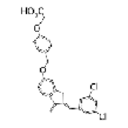 C=C1/C(=C/c2cc(Cl)cc(Cl)c2)Cc2cc(OCc3ccc(OCC(=O)O)cc3)ccc21